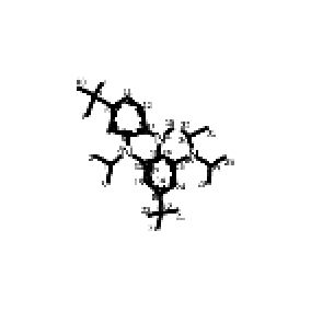 CC(C)N(c1cc(C(C)(C)C)ccc1N(C)c1ccc(C(C)(C)C)cc1N(C(C)C)C(C)C)C(C)C